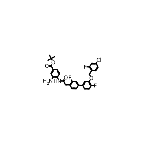 CC(C)(C)OC(=O)c1ccc(NC(=O)Cc2ccc(-c3ccc(F)c(OCc4ccc(Cl)cc4F)c3)cc2F)c(N)c1